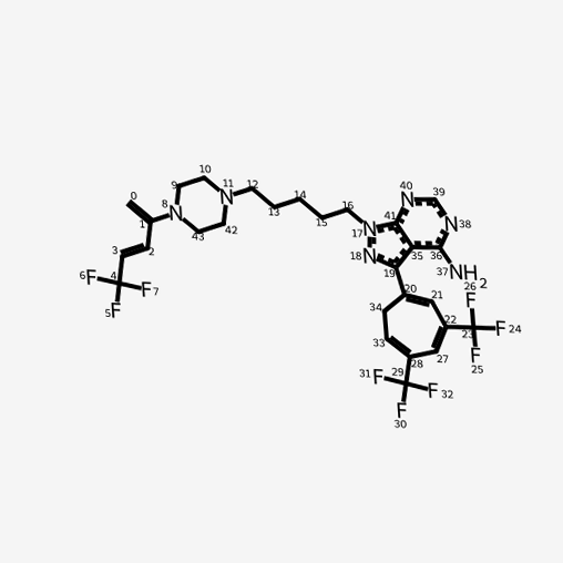 C=C(/C=C/C(F)(F)F)N1CCN(CCCCCn2nc(C3=CC(C(F)(F)F)=CC(C(F)(F)F)=CC3)c3c(N)ncnc32)CC1